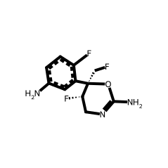 NC1=NC[C@H](F)[C@@](CF)(c2cc(N)ccc2F)O1